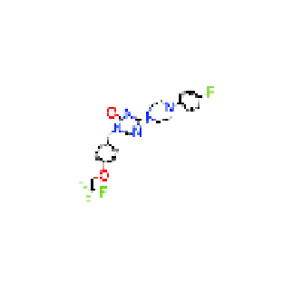 O=c1nc(N2CCN(c3ccc(F)cc3)CC2)ncn1Cc1ccc(OCC(F)(F)F)cc1